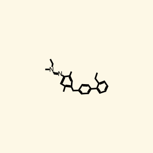 CCc1ccccc1-c1ccc(Cc2cc(C)c(N=CN(C)CC)cc2C)cc1